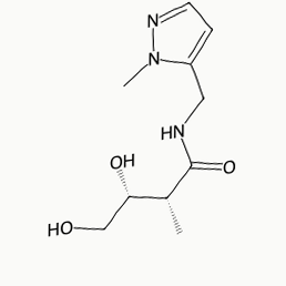 C[C@@H](C(=O)NCc1ccnn1C)[C@@H](O)CO